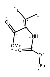 COC(=O)/C(NC(=O)OC(C)(C)C)=C(/C)I